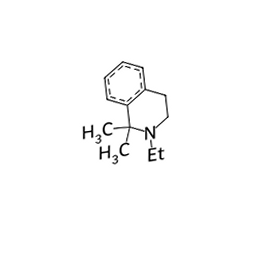 CCN1CCc2ccccc2C1(C)C